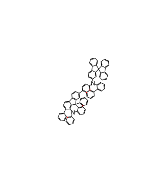 c1ccc(-c2ccccc2N(c2ccc(-c3ccc4c(c3)C3(c5ccccc5)c5ccccc5N(c5ccccc5)c5c(-c6ccccc6)ccc-4c53)cc2)c2ccc3c(c2)C2(c4ccccc4-c4ccccc42)c2ccccc2-3)cc1